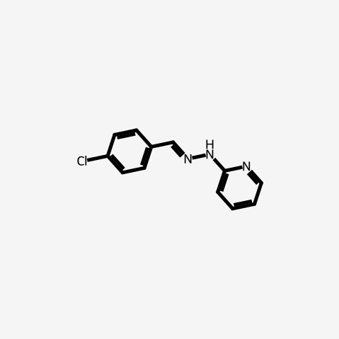 Clc1ccc(/C=N/Nc2ccccn2)cc1